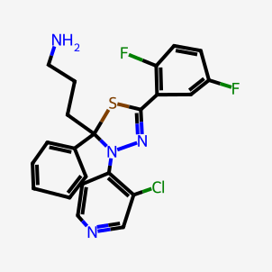 NCCCC1(c2ccccc2)SC(c2cc(F)ccc2F)=NN1c1ccncc1Cl